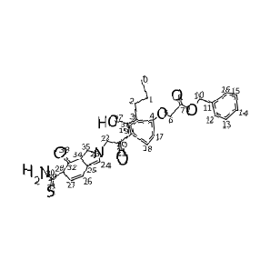 CCCc1c(OCC(=O)OCc2ccccc2)ccc(C(=O)CN2C=C3C=CC(C(N)=S)C(=O)C3C2)c1O